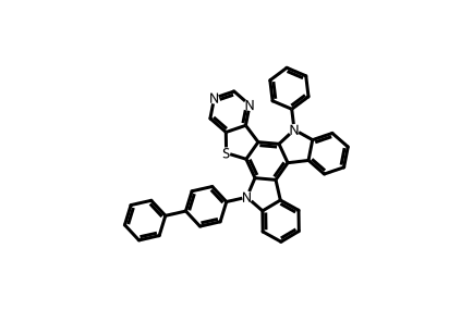 c1ccc(-c2ccc(-n3c4ccccc4c4c5c6ccccc6n(-c6ccccc6)c5c5c6ncncc6sc5c43)cc2)cc1